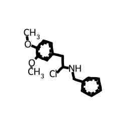 COc1ccc(CC(Cl)NCc2ccccc2)cc1OC